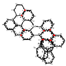 c1cc(-c2cccc3c2ccc2ccccc23)cc(N(c2ccccc2-c2cccc3cccc(C4CCCCC4)c23)c2ccccc2-c2cccc3oc4ccccc4c23)c1